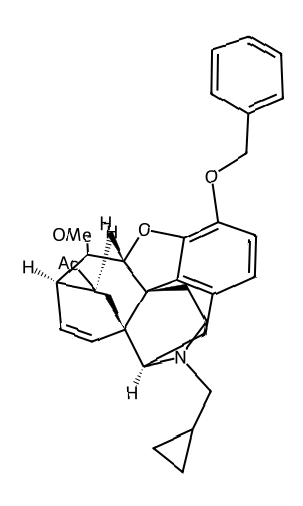 COC1[C@@H]2C=C[C@@]3(C[C@@H]2C(C)=O)[C@H]2Cc4ccc(OCc5ccccc5)c5c4[C@@]3(CCN2CC2CC2)[C@H]1O5